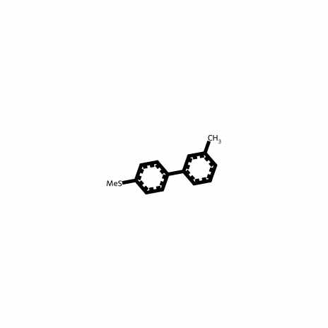 CSc1ccc(-c2cccc(C)c2)cc1